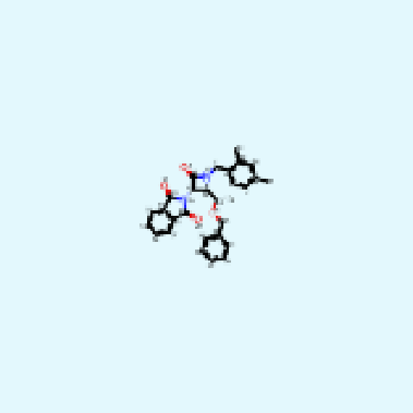 Cc1ccc(CN2C(=O)[C@@H](N3C(=O)c4ccccc4C3=O)[C@H]2[C@H](C)OCc2ccccc2)c(C)c1